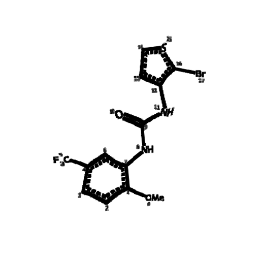 COc1ccc(C(F)(F)F)cc1NC(=O)Nc1ccsc1Br